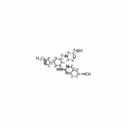 C#Cc1ccc2nc(Nc3cc(CN4CCOC(CO)C4)cc(-c4cnn(C)c4)c3)ncc2c1